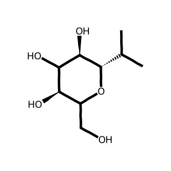 CC(C)[C@@H]1OC(CO)[C@@H](O)C(O)[C@H]1O